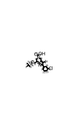 CC(C)(C)[Si](C)(C)OCC1CN(C(=O)O)Cc2c(I)c(-c3cccc(Cl)c3)nn21